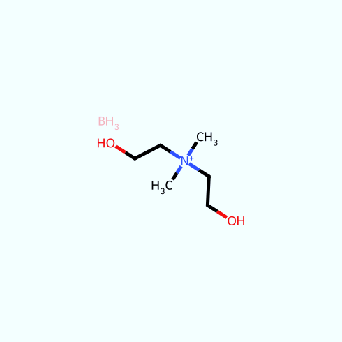 B.C[N+](C)(CCO)CCO